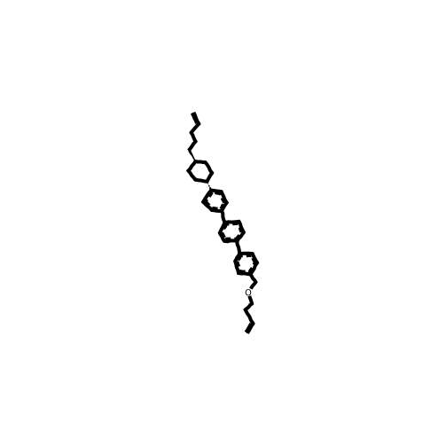 C=CCCC[C@H]1CC[C@H](c2ccc(-c3ccc(-c4ccc(COCCC=C)cc4)cc3)cc2)CC1